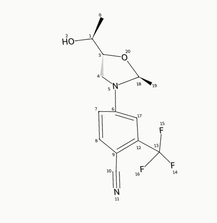 C[C@H](O)[C@H]1CN(c2ccc(C#N)c(C(F)(F)F)c2)[C@H](C)O1